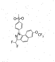 CS(=O)(=O)c1ccc(-n2nc(C(F)F)c3ccc4cc(OC(F)(F)F)ccc4c32)cc1